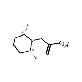 C=C(CN1[C@H](C)CCC[C@@H]1C)C(=O)O